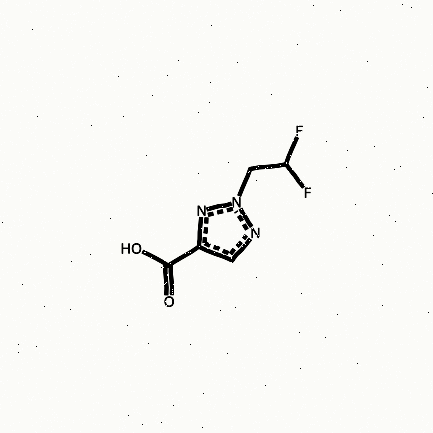 O=C(O)c1cnn(CC(F)F)n1